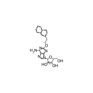 Nc1nc(OCCc2ccc3ccccc3c2)nc2c1ncn2C1OC(CO)[C@@H](O)[C@H]1O